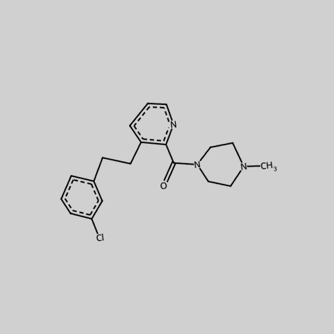 CN1CCN(C(=O)c2ncccc2CCc2cccc(Cl)c2)CC1